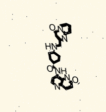 COc1ccc2nccc(NC(=O)[C@H]3CC[C@H](NCc4cc(=O)n5ccccc5n4)CC3)c2n1